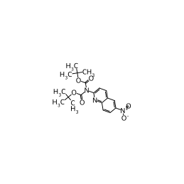 CC(C)(C)OC(=O)N(C(=O)OC(C)(C)C)c1ccc2cc([N+](=O)[O-])ccc2n1